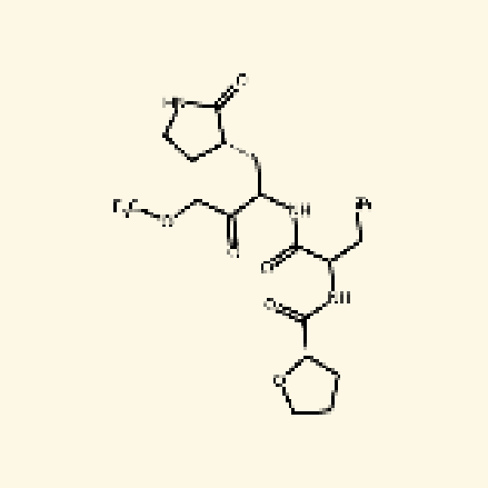 CC(C)CC(NC(=O)[C@H]1CCCO1)C(=O)NC(C[C@@H]1CCNC1=O)C(=O)COC(F)(F)F